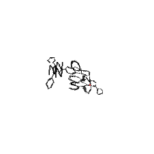 c1ccc(-c2ccc(N(c3cccc4oc5cc(-c6nc(-c7ccccc7)nc(-c7ccccc7)n6)ccc5c34)c3cccc4sc5ccccc5c34)cc2)cc1